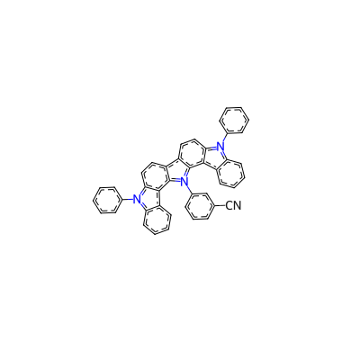 N#Cc1cccc(-n2c3c(ccc4c3c3ccccc3n4-c3ccccc3)c3ccc4c(c5ccccc5n4-c4ccccc4)c32)c1